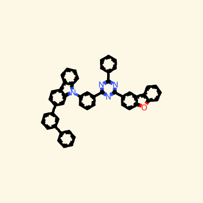 c1ccc(-c2cccc(-c3ccc4c5ccccc5n(-c5cccc(-c6nc(-c7ccccc7)nc(-c7ccc8oc9ccccc9c8c7)n6)c5)c4c3)c2)cc1